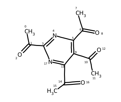 CC(=O)c1nc(C(C)=O)c(C(C)=O)c(C(C)=O)n1